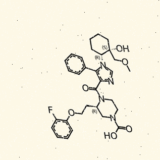 COC[C@]1(O)CCCC[C@H]1n1cnc(C(=O)N2CCN(C(=O)O)C[C@H]2CCOc2ccccc2F)c1-c1ccccc1